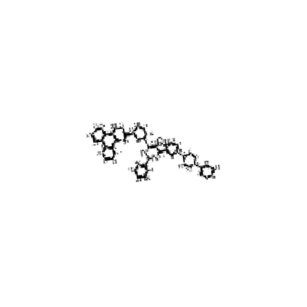 c1ccc(-c2ccc(-c3ccc4oc5c(-c6cccc(-c7ccc8c9ccccc9c9ccccc9c8c7)c6)nc(-c6ccccc6)nc5c4c3)cc2)cc1